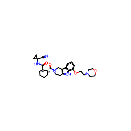 N#CC1(NC(=O)[C@@H]2CCCC[C@H]2C(=O)N2CCc3[nH]c4c(OCCN5CCOCC5)cccc4c3C2)CC1